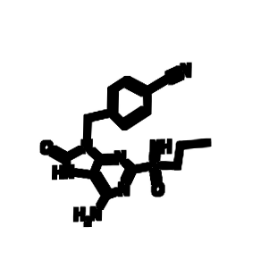 CCCS(=N)(=O)c1nc(N)c2[nH]c(=O)n(Cc3ccc(C#N)cc3)c2n1